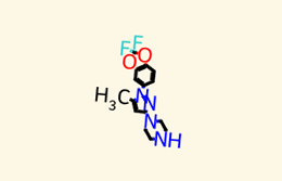 Cc1cc(N2CCNCC2)nn1-c1ccc2c(c1)OC(F)(F)O2